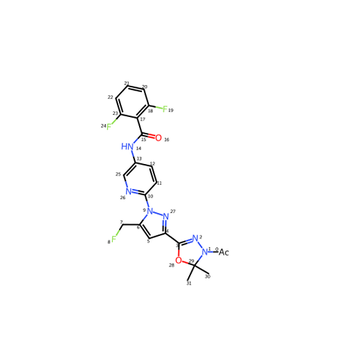 CC(=O)N1N=C(c2cc(CF)n(-c3ccc(NC(=O)c4c(F)cccc4F)cn3)n2)OC1(C)C